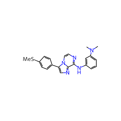 CSc1ccc(-c2cnc3c(Nc4cccc(N(C)C)c4)nccn23)cc1